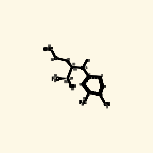 CN(c1ccc(C#N)c(C(F)(F)F)c1)[C@H](COC=O)[C@H](O)C(F)(F)F